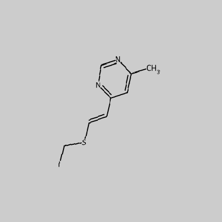 Cc1cc(/C=C/SCI)ncn1